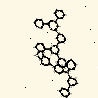 c1ccc(-c2cc(-c3ccccc3)cc(-c3cccc(-c4nc(-c5ccccc5)nc(-c5cccc6oc7ccc(-c8ccc9c(c8)c8ccccc8n9-c8cccc(-c9ccccc9)c8)cc7c56)n4)c3)c2)cc1